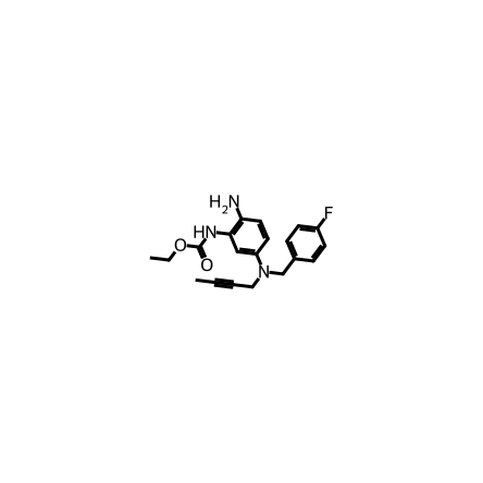 CC#CCN(Cc1ccc(F)cc1)c1ccc(N)c(NC(=O)OCC)c1